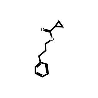 O=C(OCCCc1ccccc1)C1CC1